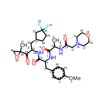 COc1ccc(CC(NC(=O)C(C)NC(=O)CN2CCOCC2)C(=O)NC(C[C@@H]2CCC(F)(F)C2)C(=O)C2(C)CO2)cc1